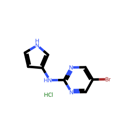 Brc1cnc(Nc2cc[nH]c2)nc1.Cl